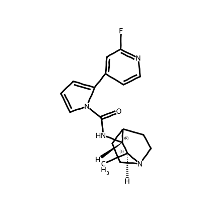 C[C@H]1[C@H](NC(=O)n2cccc2-c2ccnc(F)c2)C2CCN1CC2